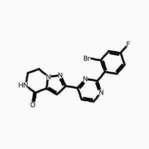 O=C1NCCn2nc(-c3ccnc(-c4ccc(F)cc4Br)n3)cc21